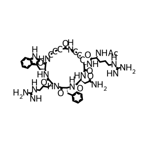 CC(=O)N[C@@H](CCCNC(=N)N)C(=O)N[C@H]1CCCNC(=O)CCCNC(=O)[C@H](Cc2c[nH]c3ccccc23)NC(=O)[C@H](CCCNC(=N)N)NC(=O)[C@@H](Cc2ccccc2)NC(=O)[C@H](CC(N)=O)NC1=O